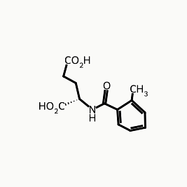 Cc1ccccc1C(=O)N[C@@H](CCC(=O)O)C(=O)O